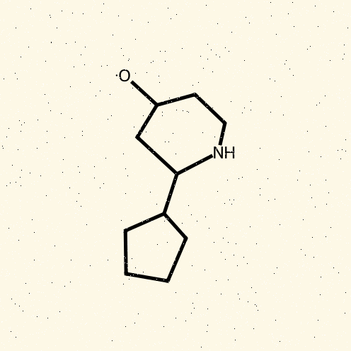 [O]C1CCNC(C2CCCC2)C1